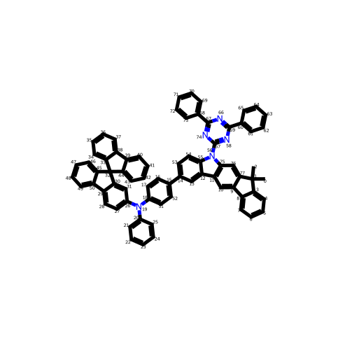 CC1(C)c2ccccc2-c2cc3c4cc(-c5ccc(N(c6ccccc6)c6ccc7c(c6)C6(c8ccccc8-c8ccccc86)c6ccccc6-7)cc5)ccc4n(-c4nc(-c5ccccc5)nc(-c5ccccc5)n4)c3cc21